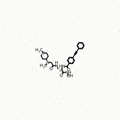 CN1CCC(N(C)CC(=O)NC[C@H](NC(=O)c2ccc(C#Cc3ccccc3)cc2)C(=O)NO)CC1